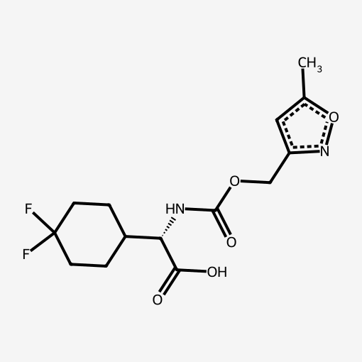 Cc1cc(COC(=O)N[C@H](C(=O)O)C2CCC(F)(F)CC2)no1